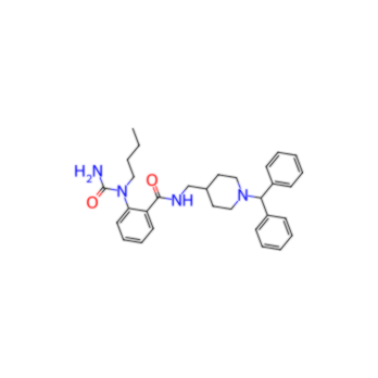 CCCCN(C(N)=O)c1ccccc1C(=O)NCC1CCN(C(c2ccccc2)c2ccccc2)CC1